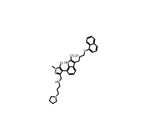 CCOC(=O)c1[nH]c2c(-c3c(CNCCCN4CCCC4)nn(C)c3CC)cccc2c1CCCOc1cccc2ccccc12